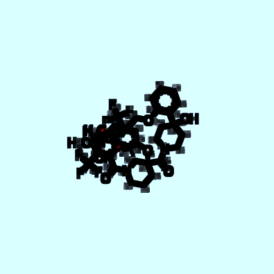 C=C(O)C(C)(C)CCCOc1ccccc1C1(O)CCN(C(=O)[C@]2(Oc3csc(C(F)(F)F)c3)CCCN(C(=O)c3cnccc3C(F)(F)F)[C@@H]2CCC)CC1